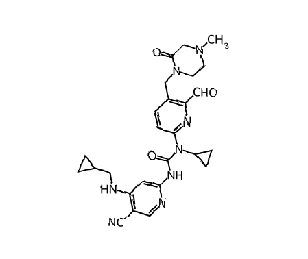 CN1CCN(Cc2ccc(N(C(=O)Nc3cc(NCC4CC4)c(C#N)cn3)C3CC3)nc2C=O)C(=O)C1